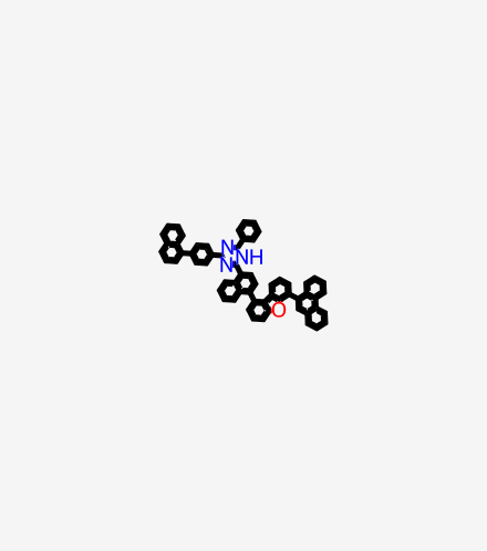 c1ccc(C2N=C(c3ccc(-c4cccc5ccccc45)cc3)N=C(c3ccc(-c4cccc5oc6c(-c7cc8ccccc8c8ccccc78)cccc6c45)c4ccccc34)N2)cc1